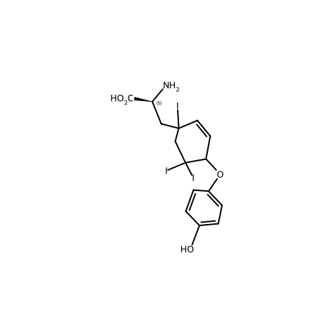 N[C@@H](CC1(I)C=CC(Oc2ccc(O)cc2)C(I)(I)C1)C(=O)O